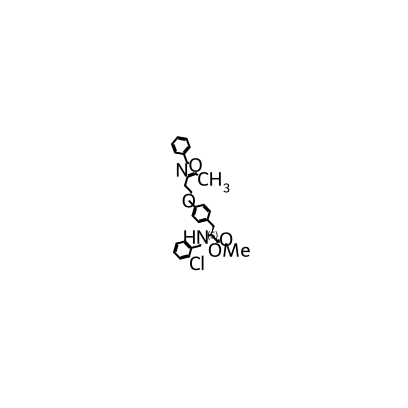 COC(=O)[C@H](Cc1ccc(OCCc2nc(-c3ccccc3)oc2C)cc1)NCc1ccccc1Cl